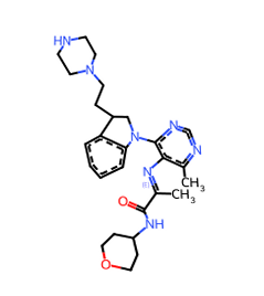 C/C(=N\c1c(C)ncnc1N1CC(CCN2CCNCC2)c2ccccc21)C(=O)NC1CCOCC1